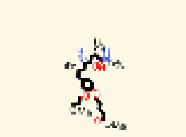 CCCCNC(=O)[C@H](C)C[C@H](O)[C@@H](N)C[C@H](Cc1ccc(OCCCCC(=O)OC)c(OCCCOC)c1)C(C)C